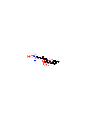 CCc1ccc(/C=C(\C)C(=O)c2c(O)cc(C(C)CCC=CNC(=O)O)oc2=O)cc1